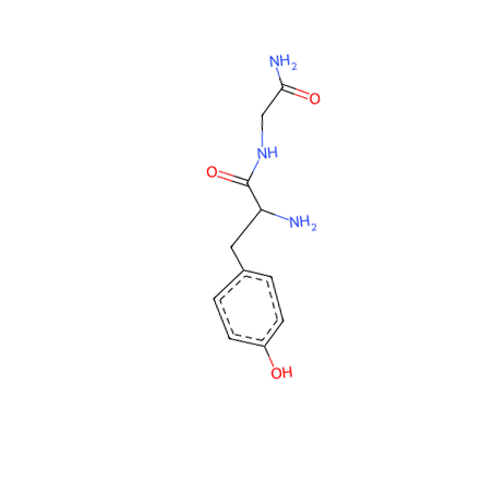 NC(=O)CNC(=O)C(N)Cc1ccc(O)cc1